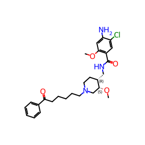 COc1cc(N)c(Cl)cc1C(=O)NC[C@H]1CCN(CCCCCC(=O)c2ccccc2)C[C@H]1OC